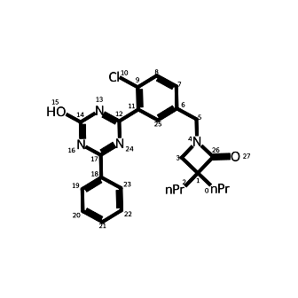 CCCC1(CCC)CN(Cc2ccc(Cl)c(-c3nc(O)nc(-c4ccccc4)n3)c2)C1=O